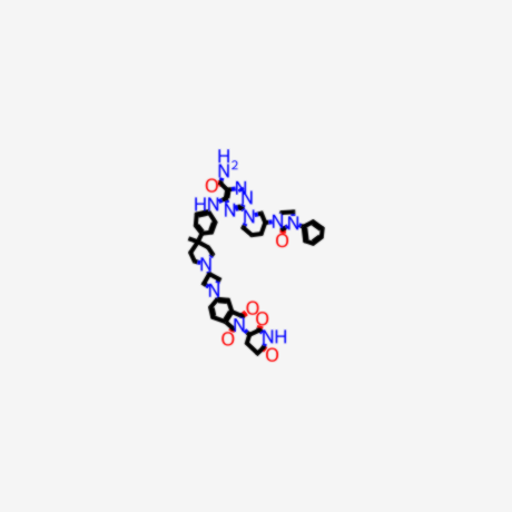 CC1(c2ccc(Nc3nc(N4CCCC(N5CCN(c6ccccc6)C5=O)C4)nnc3C(N)=O)cc2)CCN(C2CN(c3ccc4c(c3)C(=O)N(C3CCC(=O)NC3=O)C4=O)C2)CC1